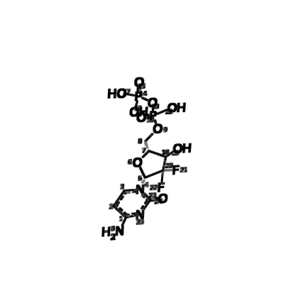 Nc1ccn([C@@H]2O[C@H](COP(=O)(O)OP(=O)(O)O)C(O)C2(F)F)c(=O)n1